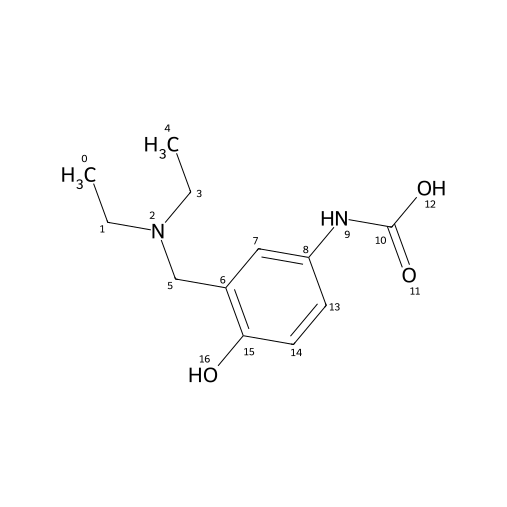 CCN(CC)Cc1cc(NC(=O)O)ccc1O